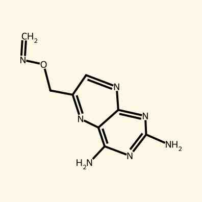 C=NOCc1cnc2nc(N)nc(N)c2n1